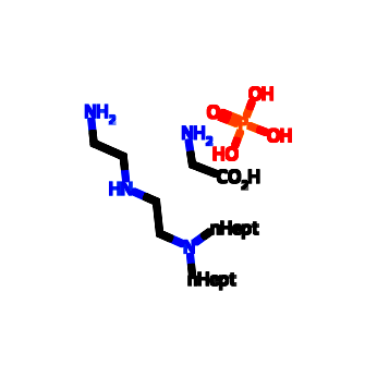 CCCCCCCN(CCCCCCC)CCNCCN.NCC(=O)O.O=P(O)(O)O